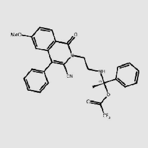 COc1ccc2c(=O)n(CCN[C@@](C)(OC(=O)C(F)(F)F)c3ccccc3)c(C#N)c(-c3ccccc3)c2c1